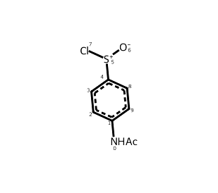 CC(=O)Nc1ccc([S+]([O-])Cl)cc1